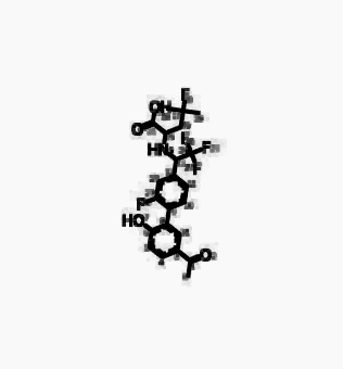 CC(=O)c1ccc(O)c(-c2ccc(C(NC(CC(C)(C)F)C(=O)O)C(F)(F)F)cc2F)c1